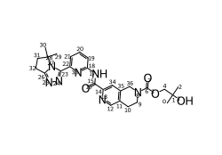 CC(C)(O)COC(=O)N1CCc2cnc(C(=O)Nc3cccc(-c4nnc5n4C(C)(C)CC5)n3)cc2C1